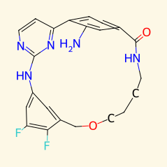 Nc1cc2ccc1-c1ccnc(n1)Nc1cc(F)c(F)c(c1)COCCCCNC2=O